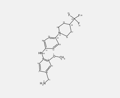 COc1cc(CN)ccc1Nc1ccc(N2CCC(C(F)(F)F)CC2)cc1